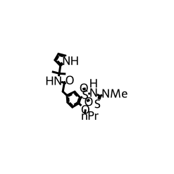 CCCOc1ccc(CC(=O)NC(C)(C)c2ccc[nH]2)cc1S(=O)(=O)NC(=S)NC